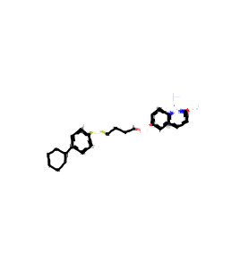 O=c1ccc2cc(OCCCCSc3ccc(C4CCCCC4)cc3)ccc2[nH]1